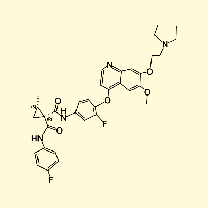 CCN(CC)CCOc1cc2nccc(Oc3ccc(NC(=O)[C@]4(C(=O)Nc5ccc(F)cc5)C[C@@H]4C)cc3F)c2cc1OC